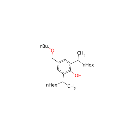 CCCCCCC(C)c1cc(COCCCC)cc(C(C)CCCCCC)c1O